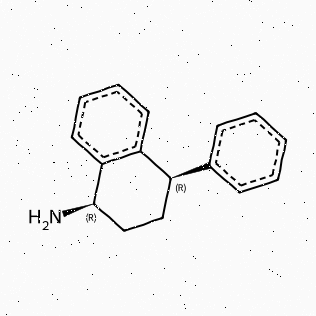 N[C@@H]1CC[C@H](c2ccccc2)c2ccccc21